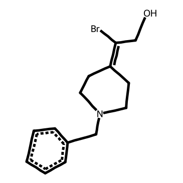 OCC(Br)=C1CCN(Cc2ccccc2)CC1